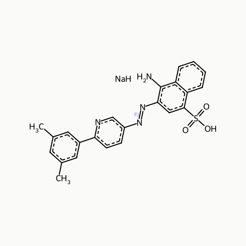 Cc1cc(C)cc(-c2ccc(/N=N/c3cc(S(=O)(=O)O)c4ccccc4c3N)cn2)c1.[NaH]